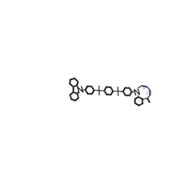 C=C1/C=C\C=C/CN(c2ccc(C(C)(C)c3ccc(C(C)(C)c4ccc(-n5c6ccccc6c6ccccc65)cc4)cc3)cc2)c2ccccc21